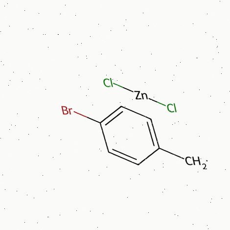 [CH2]c1ccc(Br)cc1.[Cl][Zn][Cl]